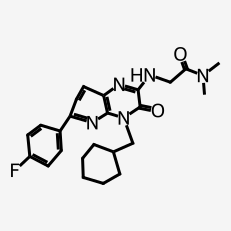 CN(C)C(=O)CNc1nc2ccc(-c3ccc(F)cc3)nc2n(CC2CCCCC2)c1=O